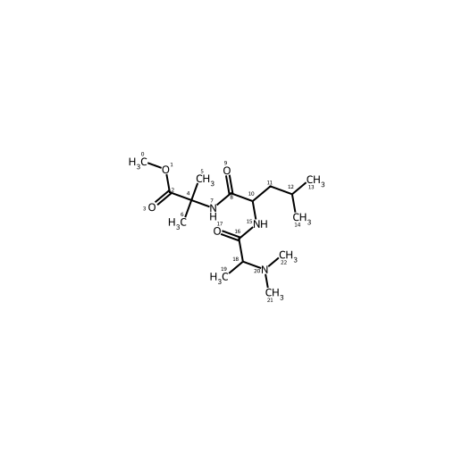 COC(=O)C(C)(C)NC(=O)C(CC(C)C)NC(=O)C(C)N(C)C